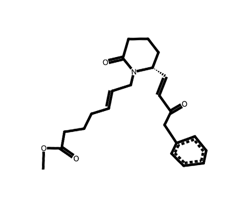 COC(=O)CCCC=CCN1C(=O)CCC[C@@H]1C=CC(=O)Cc1ccccc1